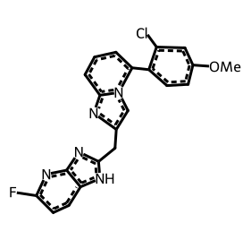 COc1ccc(-c2cccc3nc(Cc4nc5nc(F)ccc5[nH]4)cn23)c(Cl)c1